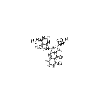 CC(CNC(=O)O)n1c([C@H](C)Nc2ncnc(N)c2C#N)nc2cccc(Cl)c2c1=O